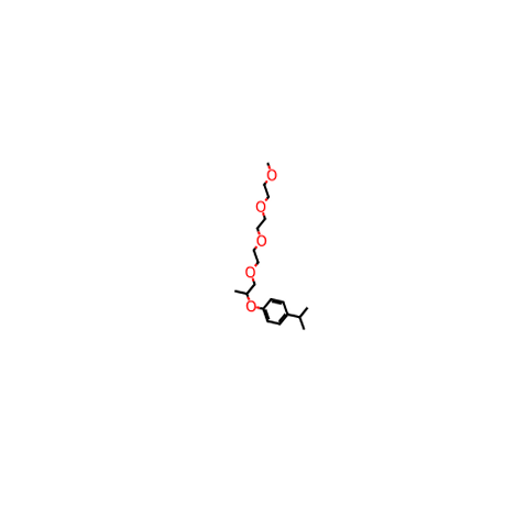 COCCOCCOCCOCC(C)Oc1ccc(C(C)C)cc1